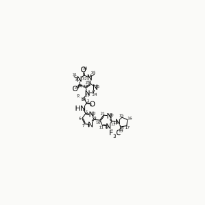 C[C@@H](C(=O)Nc1ccnc(-c2cnc(N3CCCC3C(F)(F)F)nc2)n1)n1cnc2c1c(=O)n(C)c(=O)n2C